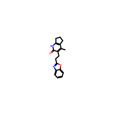 Cc1c2c([nH]c(=O)c1CCc1nc3ccccc3o1)CCC2